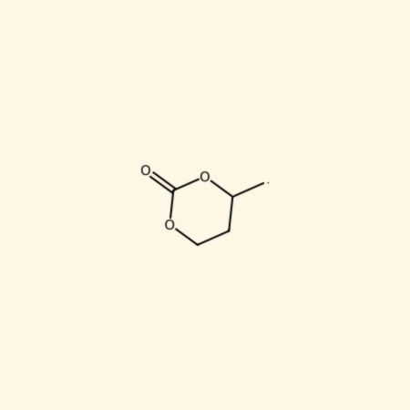 [CH2]C1CCOC(=O)O1